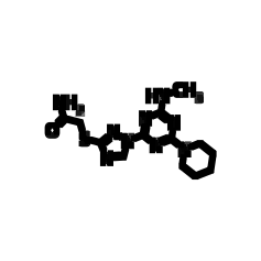 CNc1nc(N2CCCCC2)nc(-n2cnc(SCC(N)=O)n2)n1